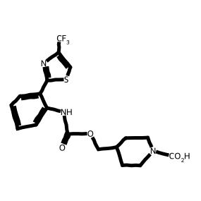 O=C(Nc1ccccc1-c1nc(C(F)(F)F)cs1)OCC1CCN(C(=O)O)CC1